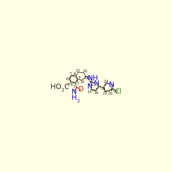 NC(=O)c1c(C(=O)O)ccc2c1CC(Nc1nccc(-c3ccc(Cl)nc3)n1)CC2